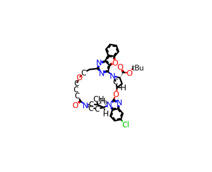 C[C@@H]1CN2CC[C@H]1n1c(nc3cc(Cl)ccc31)O[C@H]1C[C@@H](C(=O)OC(C)(C)C)N(C1)c1nc(nc3c1oc1ccccc13)CCOCCCC2=O